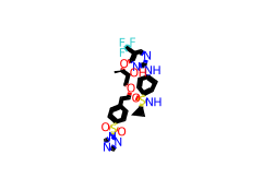 C[C@@H](Oc1nc(Nc2ccc(S(=N)(=O)C3CC3)cc2)ncc1C(F)(F)F)[C@H](O)COCCc1ccc(S(=O)(=O)n2cncn2)cc1